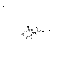 Cc1c(OC(=O)O)oc(=O)c2ccccc12